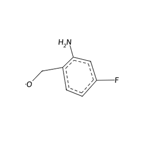 Nc1cc(F)ccc1C[O]